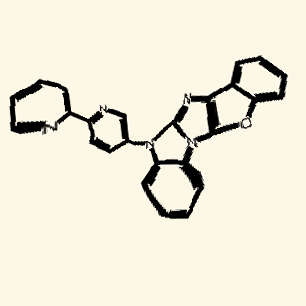 c1ccc(-c2ccc(-n3c4ccccc4n4c5oc6ccccc6c5nc34)cn2)nc1